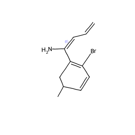 C=C/C=C(/N)C1=C(Br)C=CC(C)C1